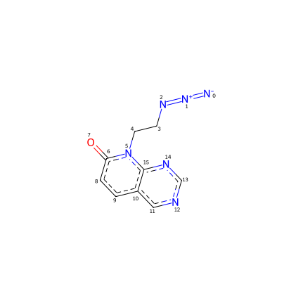 [N-]=[N+]=NCCn1c(=O)ccc2cncnc21